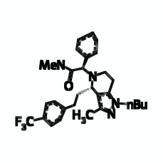 CCCCn1nc(C)c2c1CCN([C@@H](C(=O)NC)c1ccccc1)[C@H]2CCc1ccc(C(F)(F)F)cc1